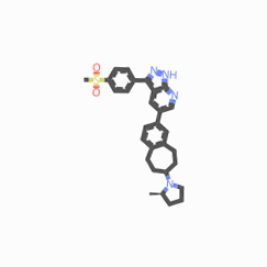 C[C@@H]1CCCN1C1CCc2ccc(-c3cnc4[nH]nc(-c5ccc(S(C)(=O)=O)cc5)c4c3)cc2CC1